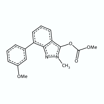 COC(=O)Oc1c2cccc(-c3cccc(OC)c3)c2nn1C